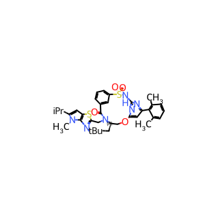 Cc1cccc(C)c1-c1cc2nc(n1)NS(=O)(=O)c1cccc(c1)C(=O)N(Cc1nc3c(cc(C(C)C)n3C)s1)[C@H](CC(C)(C)C)CO2